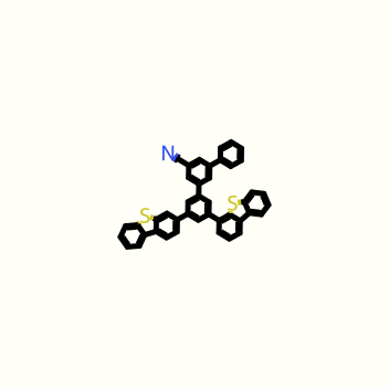 N#Cc1cc(-c2ccccc2)cc(-c2cc(-c3ccc4c(c3)sc3ccccc34)cc(-c3cccc4c3sc3ccccc34)c2)c1